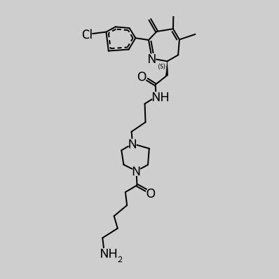 C=C1C(c2ccc(Cl)cc2)=N[C@H](CC(=O)NCCCN2CCN(C(=O)CCCCCN)CC2)CC(C)=C1C